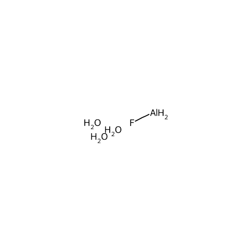 O.O.O.[F][AlH2]